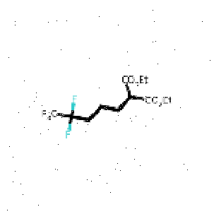 CCOC(=O)C(CCCC(F)(F)C(F)(F)F)C(=O)OCC